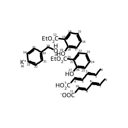 C/C=C/C=C/C(=O)O.C/C=C/C=C/C(=O)[O-].CCOC(=O)c1ccccc1O.CCOC(=O)c1ccccc1O.OCc1ccccc1.[K+]